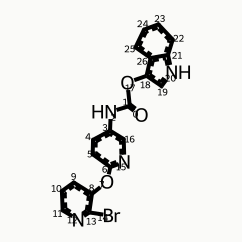 O=C(Nc1ccc(Oc2cccnc2Br)nc1)Oc1c[nH]c2ccccc12